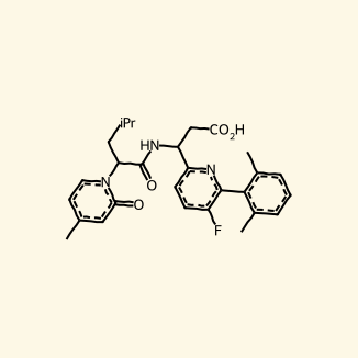 Cc1ccn(C(CC(C)C)C(=O)NC(CC(=O)O)c2ccc(F)c(-c3c(C)cccc3C)n2)c(=O)c1